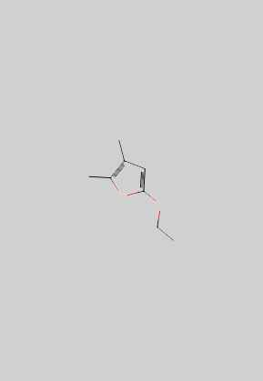 CCOc1cc(C)c(C)o1